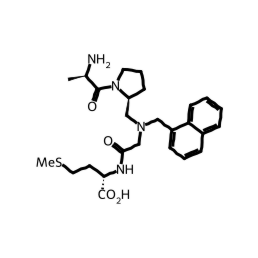 CSCC[C@H](NC(=O)CN(Cc1cccc2ccccc12)C[C@@H]1CCCN1C(=O)[C@@H](C)N)C(=O)O